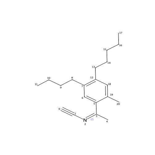 C#C/N=C(/C)c1cc(CCCC)c(CCCCC)cc1C